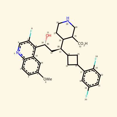 COc1ccc2ncc(F)c([C@H](O)C[C@H](C3CC(c4cc(F)ccc4F)C3)C3CCNCC3C(=O)O)c2c1